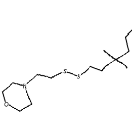 CCCC(C)(C)CCSSCCN1CCOCC1